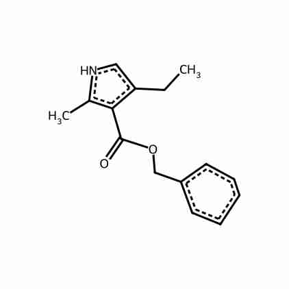 CCc1c[nH]c(C)c1C(=O)OCc1ccccc1